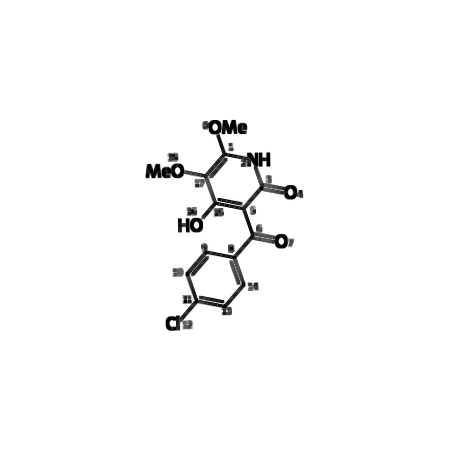 COc1[nH]c(=O)c(C(=O)c2ccc(Cl)cc2)c(O)c1OC